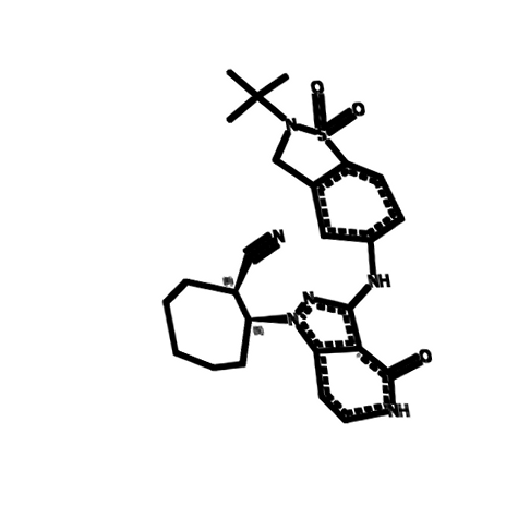 CC(C)(C)N1Cc2cc(Nc3nn([C@H]4CCCCC[C@H]4C#N)c4cc[nH]c(=O)c34)ccc2S1(=O)=O